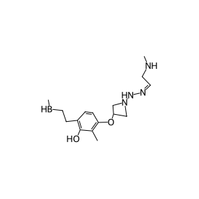 CBCCc1ccc(OC2CN(N/N=C\CNC)C2)c(C)c1O